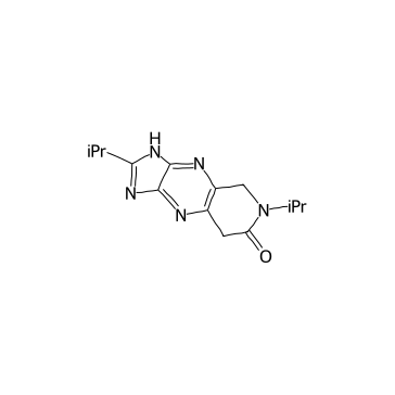 CC(C)c1nc2nc3c(nc2[nH]1)CN(C(C)C)C(=O)C3